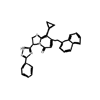 O=c1cc(Cc2cccc3ccccc23)c(C2CC2)c2n1C(c1nc(-c3ccccc3)n[nH]1)CS2